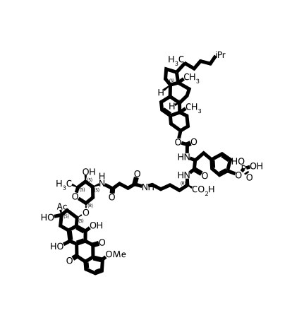 COc1cccc2c1C(=O)c1c(O)c3c(c(O)c1C2=O)C[C@@](O)(C(C)=O)C[C@@H]3O[C@H]1C[C@H](NC(=O)CCC(=O)NCCCC[C@@H](NC(=O)C(Cc2ccc(OP(=O)(O)O)cc2)NC(=O)OC2CCC3(C)C(=CCC4[C@@H]3CCC3(C)C(C(C)CCCC(C)C)CC[C@@H]43)C2)C(=O)O)[C@H](O)[C@H](C)O1